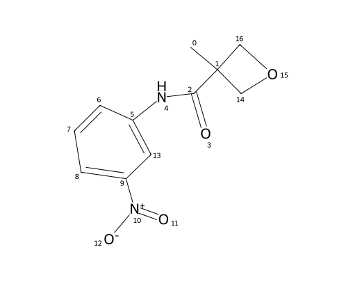 CC1(C(=O)Nc2cccc([N+](=O)[O-])c2)COC1